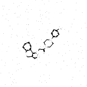 O=C(Cn1ncc2c1-c1ccccc1OC2)N1CCN(c2ccc([N+](=O)[O-])cc2)CC1